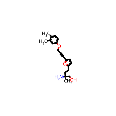 Cc1ccc(OCC#Cc2ccc(CC[C@@](C)(N)CO)o2)cc1C